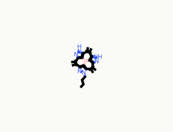 CCCCn1nc(C(C)C)c(B(c2c(C(C)C)n[nH]c2C(C)C)c2c(C(C)C)n[nH]c2C(C)C)c1C(C)C